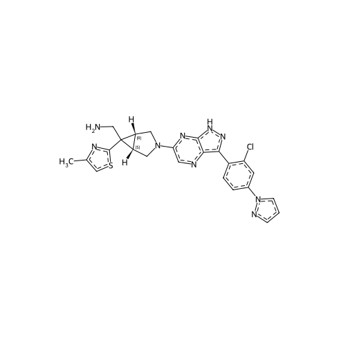 Cc1csc(C2(CN)[C@@H]3CN(c4cnc5c(-c6ccc(-n7cccn7)cc6Cl)n[nH]c5n4)C[C@@H]32)n1